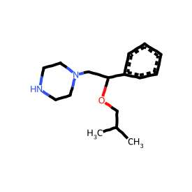 CC(C)COC(CN1CCNCC1)c1ccccc1